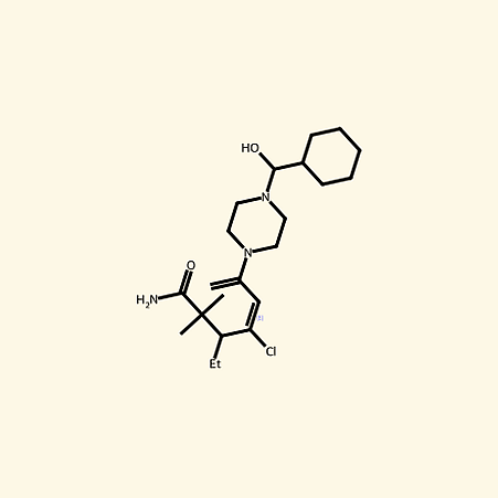 C=C(/C=C(/Cl)C(CC)C(C)(C)C(N)=O)N1CCN(C(O)C2CCCCC2)CC1